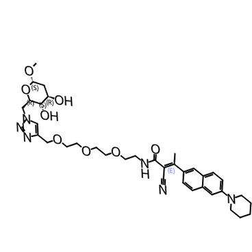 CO[C@@H]1C[C@@H](O)[C@H](O)[C@@H](Cn2cc(COCCOCCOCCNC(=O)/C(C#N)=C(\C)c3ccc4cc(N5CCCCC5)ccc4c3)nn2)O1